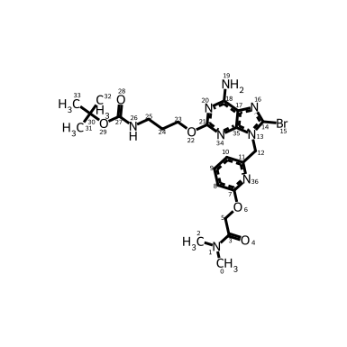 CN(C)C(=O)COc1cccc(Cn2c(Br)nc3c(N)nc(OCCCNC(=O)OC(C)(C)C)nc32)n1